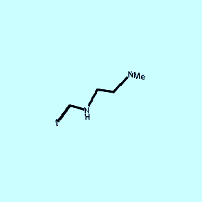 CNCCNCI